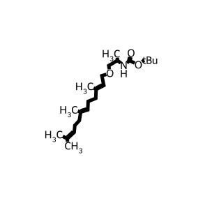 CC(C)=CCC/C(C)=C/CC/C(C)=C/COCC(C)NC(=O)OC(C)(C)C